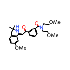 COCCN(CCOC)C(=O)c1cccc(C(=O)C=C2NC(C)(C)Cc3ccc(OC)cc32)c1